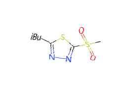 CCC(C)c1nnc(S(C)(=O)=O)s1